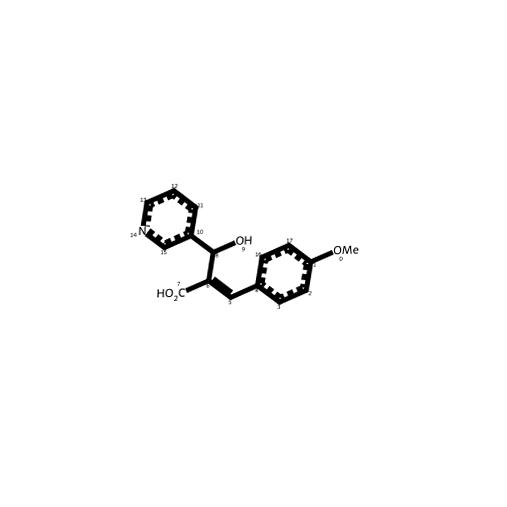 COc1ccc(C=C(C(=O)O)C(O)c2cccnc2)cc1